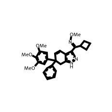 CON=C(c1n[nH]c2c1C=CC(c1ccccc1)(c1cc(OC)c(OC)c(OC)c1)C2)C1CCC1